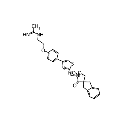 CC(=N)NCCOc1ccc(-c2csc(CNC(=O)C3(CC(=O)O)Cc4ccccc4C3)n2)cc1